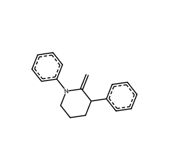 C=C1C(c2ccccc2)CCCN1c1ccccc1